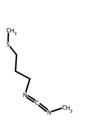 CN=C=NCCCSC